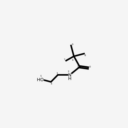 C=C(NCCO)C(C)(C)C